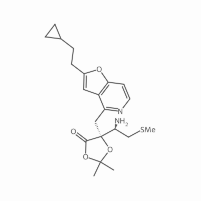 CSC[C@H](N)[C@@]1(Cc2nccc3oc(CCC4CC4)cc23)OC(C)(C)OC1=O